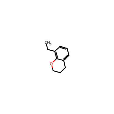 CCc1cccc2c1OCCC2